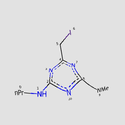 CCCNc1nc(CI)nc(NC)n1